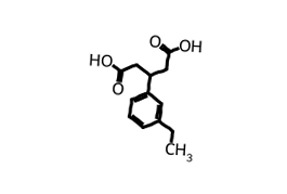 CCc1cccc(C(CC(=O)O)CC(=O)O)c1